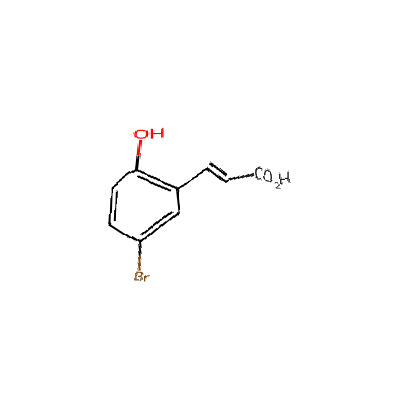 O=C(O)/C=C/c1cc(Br)ccc1O